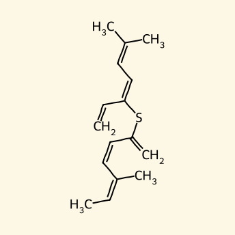 C=C/C(=C\C=C(C)C)SC(=C)/C=C\C(C)=C/C